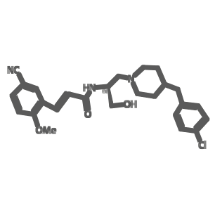 COc1ccc(C#N)cc1C=CC(=O)N[C@H](CO)CN1CCC(Cc2ccc(Cl)cc2)CC1